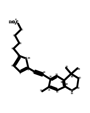 CCOC(=O)CCCCc1ccc(C#Cc2cc3c(cc2C)SCCC3(C)C)s1